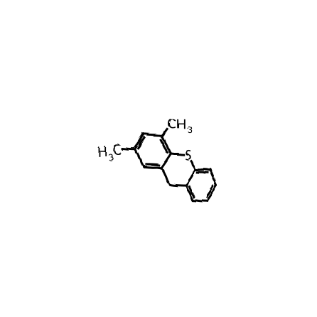 Cc1cc(C)c2c(c1)Cc1ccccc1S2